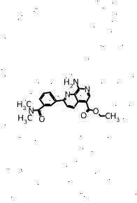 CCOC(=O)c1cnc(N)c2nc(-c3cccc(C(=O)N(C)C)c3)ccc12